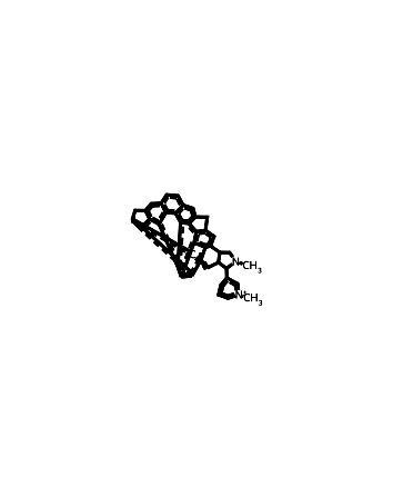 CN1CC2c3cc4c5c6c(cc7ccc8cc9c%10c%11c(cc(c%12c3c5c(c%12%11)c3c6c7c8c%103)C2C1c1ccc[n+](C)c1)C9)C4